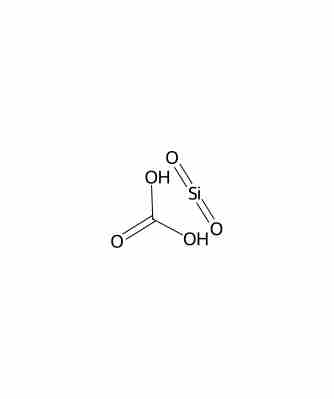 O=C(O)O.O=[Si]=O